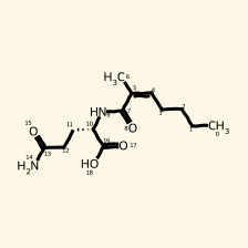 CCCCC=C(C)C(=O)N[C@@H](CCC(N)=O)C(=O)O